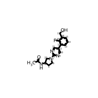 CC(=O)NC1CCN(c2ncc(-c3cccc(CO)c3F)cn2)C1